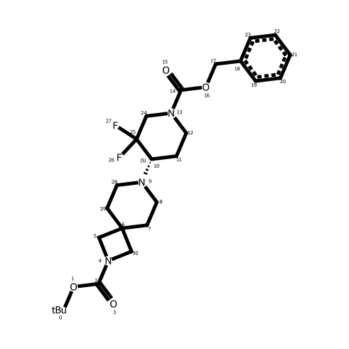 CC(C)(C)OC(=O)N1CC2(CCN([C@H]3CCN(C(=O)OCc4ccccc4)CC3(F)F)CC2)C1